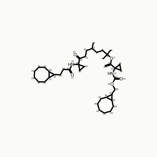 C=C(OC(C)(C)CCC(C)CCC(=O)C1(NC(=O)CCC2C3CCCCCCC32)CC1)C1(NC(=O)OCC2C3CCCCCCC32)CC1